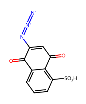 [N-]=[N+]=NC1=CC(=O)c2c(cccc2S(=O)(=O)O)C1=O